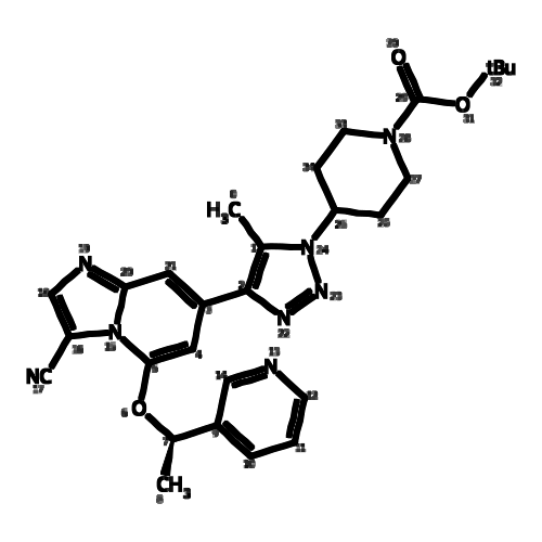 Cc1c(-c2cc(O[C@H](C)c3cccnc3)n3c(C#N)cnc3c2)nnn1C1CCN(C(=O)OC(C)(C)C)CC1